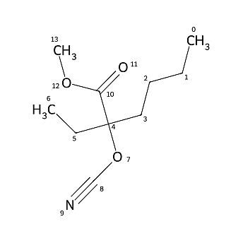 CCCCC(CC)(OC#N)C(=O)OC